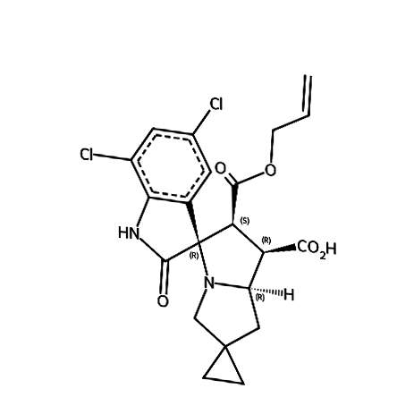 C=CCOC(=O)[C@H]1[C@@H](C(=O)O)[C@H]2CC3(CC3)CN2[C@]12C(=O)Nc1c(Cl)cc(Cl)cc12